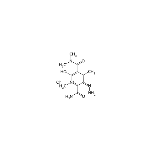 CC1C(=NN)C(C(N)=O)=[N+](C)C(O)=C1C(=O)N(C)C.[Cl-]